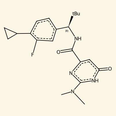 CN(C)c1nc(C(=O)N[C@@H](c2ccc(C3CC3)c(F)c2)C(C)(C)C)cc(=O)[nH]1